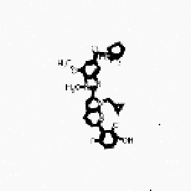 COc1cc(C(=O)N2CC3CCC2[C@@H]3N)cc2nc(-c3cc4ccc(-c5c(F)ccc(O)c5Cl)nc4n3CC3CC3)n(C)c12